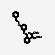 COC=C(C(=O)OC)c1ccccc1COc1cccc(OCCc2ccccc2)c1